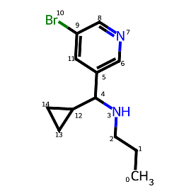 CCCNC(c1cncc(Br)c1)C1CC1